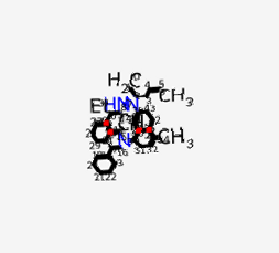 C=C[C@@H](C/C=C\C)N(NC[C@H](/C=C\C(=C)N(/C=C(/C1=CCCCC1)[C@@H]1CC=CCC1)C1CC=C(C)CC1)CC)C1=CCCCC1